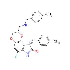 Cc1ccc(/C=C2\C(=O)Nc3c(F)cc4c(c32)OC(CNCc2ccc(C)cc2)CO4)cc1